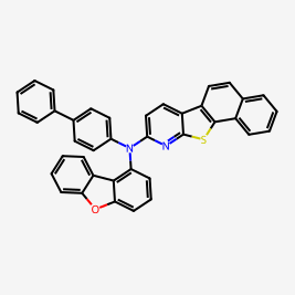 c1ccc(-c2ccc(N(c3ccc4c(n3)sc3c5ccccc5ccc43)c3cccc4oc5ccccc5c34)cc2)cc1